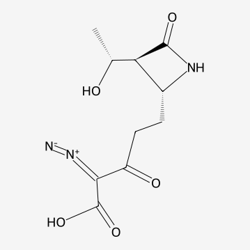 C[C@@H](O)[C@H]1C(=O)N[C@@H]1CCC(=O)C(=[N+]=[N-])C(=O)O